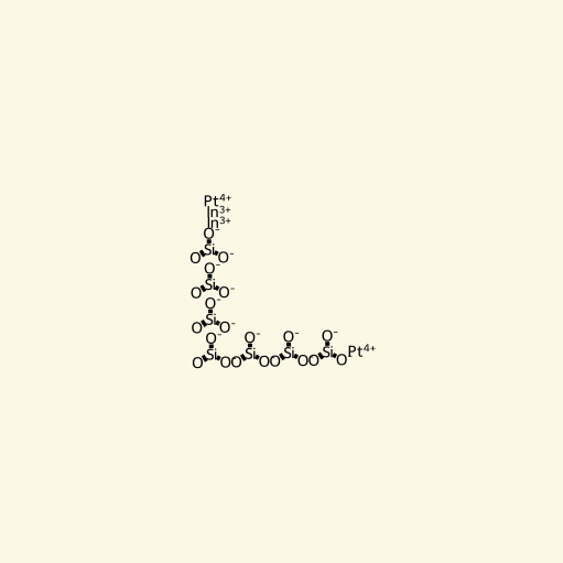 O=[Si]([O-])[O-].O=[Si]([O-])[O-].O=[Si]([O-])[O-].O=[Si]([O-])[O-].O=[Si]([O-])[O-].O=[Si]([O-])[O-].O=[Si]([O-])[O-].[In+3].[In+3].[Pt+4].[Pt+4]